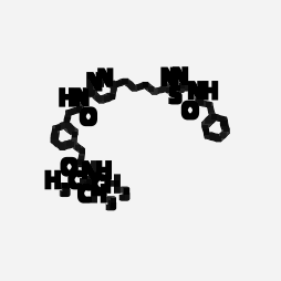 CC(C)(C)NC(=O)Cc1cccc(CC(=O)Nc2ccc(CCCCc3nnc(NC(=O)Cc4ccccc4)s3)nn2)c1